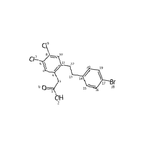 O=C(O)Cc1cc(Cl)c(Cl)cc1CCc1ccc(Br)cc1